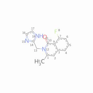 Cc1cc2cccc(F)c2c(=O)n1Cc1ncc[nH]1